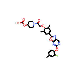 Cc1ccc(Oc2ncc3nc(-c4cc(C)c(OCC(=O)N5CCC(OC(=O)O)CC5)c(C)c4)oc3n2)c(F)c1